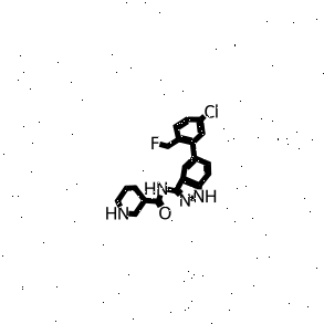 O=C(Nc1n[nH]c2ccc(-c3cc(Cl)ccc3CF)cc12)C1CCCNC1